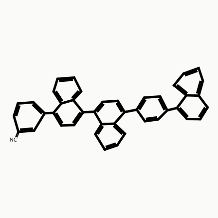 N#Cc1cccc(-c2ccc(-c3ccc(-c4ccc(-c5cccc6ccccc56)cc4)c4ccccc34)c3ccccc23)c1